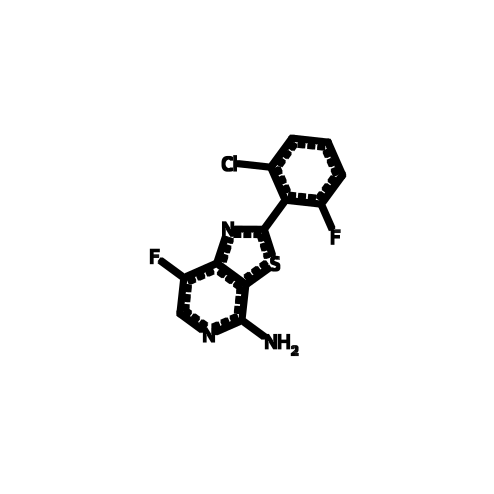 Nc1ncc(F)c2nc(-c3c(F)cccc3Cl)sc12